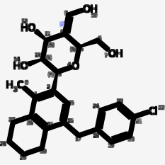 Cc1c([C@@H]2O[C@H](CO)/C(=C\O)[C@H](O)[C@@H]2O)cc(Cc2ccc(Cl)cc2)c2c1CCCC2